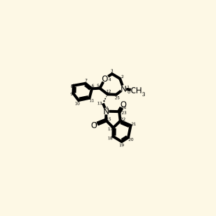 CN1CCOC(c2ccccc2)[C@@H](CN2C(=O)c3ccccc3C2=O)C1